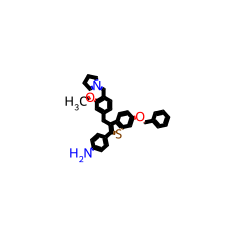 COc1cc(Cc2c(-c3ccc(N)cc3)sc3cc(OCc4ccccc4)ccc23)ccc1CN1CCCC1